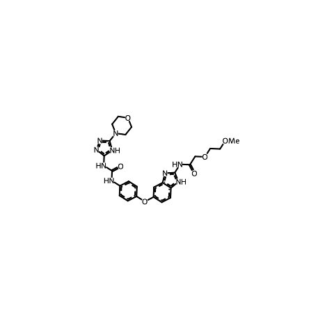 COCCOCC(=O)Nc1nc2cc(Oc3ccc(NC(=O)Nc4nnc(N5CCOCC5)[nH]4)cc3)ccc2[nH]1